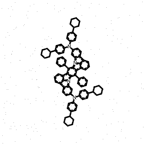 c1ccc(-c2c3c4cccc5c6ccc(N(c7ccc(C8CCCCC8)cc7)c7ccc(C8CCCCC8)cc7)cc6n(c3c(-c3ccccc3)c3c6cccc7c8ccc(N(c9ccc(C%10CCCCC%10)cc9)c9ccc(C%10CCCCC%10)cc9)cc8n(c23)c76)c54)cc1